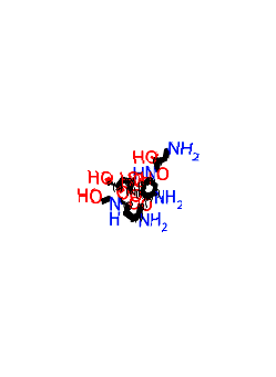 NCC[C@H](O)C(=O)N[C@@H]1C[C@H](N)[C@@H](O[C@H]2O[C@H](CNCCO)C=C[C@H]2N)[C@H](O[C@@H]2O[C@H](CO)C[C@H]2O)[C@H]1O